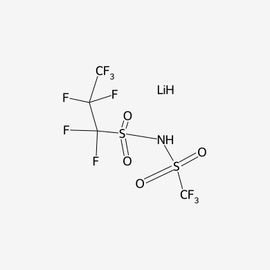 O=S(=O)(NS(=O)(=O)C(F)(F)C(F)(F)C(F)(F)F)C(F)(F)F.[LiH]